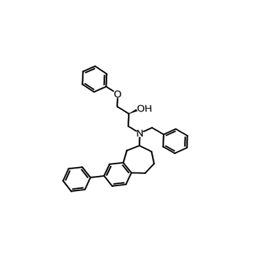 O[C@H](COc1ccccc1)CN(Cc1ccccc1)C1CCCc2ccc(-c3ccccc3)cc2C1